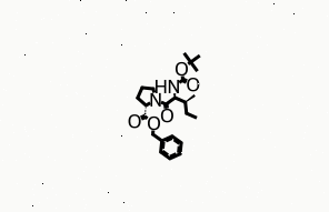 CC[C@H](C)[C@H](NC(=O)OC(C)(C)C)C(=O)N1CCC[C@H]1C(=O)OCc1ccccc1